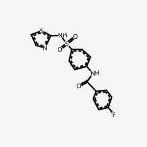 O=C(Nc1ccc(S(=O)(=O)Nc2nccs2)cc1)c1ccc(F)cc1